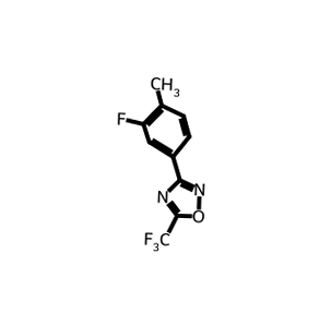 Cc1ccc(-c2noc(C(F)(F)F)n2)cc1F